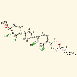 C/C=C/C1CCC(c2ccc(-c3ccc(-c4ccc(OCC)c(F)c4F)cc3)c(F)c2F)CO1